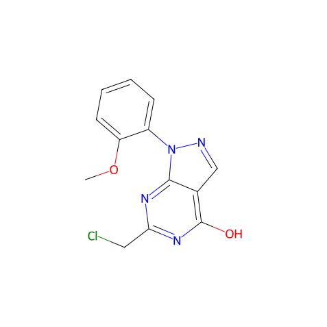 COc1ccccc1-n1ncc2c(O)nc(CCl)nc21